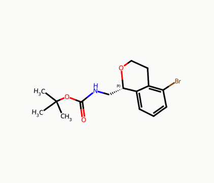 CC(C)(C)OC(=O)NC[C@@H]1OCCc2c(Br)cccc21